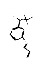 C=CCOc1cccc(C(O)C(F)(F)F)c1